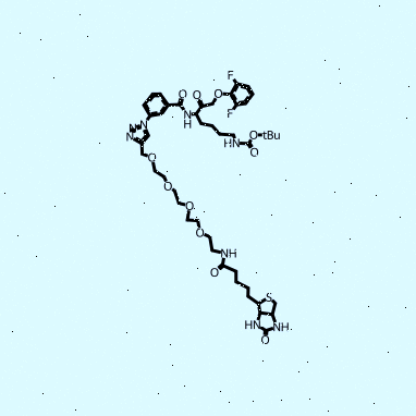 CC(C)(C)OC(=O)NCCCCC(NC(=O)c1cccc(-n2cc(COCCOCCOCCOCCNC(=O)CCCCC3SCC4NC(=O)NC43)nn2)c1)C(=O)COc1c(F)cccc1F